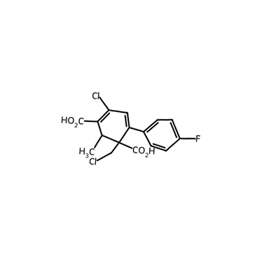 CC1C(C(=O)O)=C(Cl)C=C(c2ccc(F)cc2)C1(CCl)C(=O)O